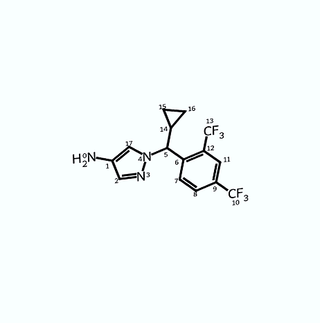 Nc1cnn(C(c2ccc(C(F)(F)F)cc2C(F)(F)F)C2CC2)c1